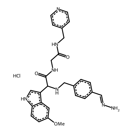 COc1ccc2[nH]cc(C(NCc3ccc(C=NN)cc3)C(=O)NCC(=O)NCc3ccncc3)c2c1.Cl